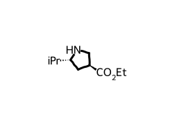 CCOC(=O)[C@@H]1CN[C@@H](C(C)C)C1